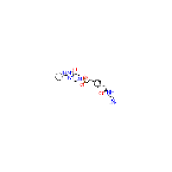 CN(C)CCNC(=O)Cc1ccc(CCS(=O)(=O)N2CCC3(CC2)N=C(C2CCCCC2)NC3=O)cc1